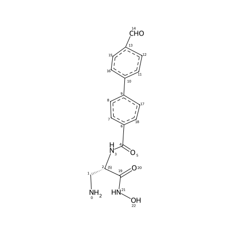 NC[C@H](NC(=O)c1ccc(-c2ccc(C=O)cc2)cc1)C(=O)NO